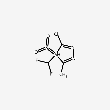 CC1=NN=C(Cl)[SH]1(C(F)F)=S(=O)=O